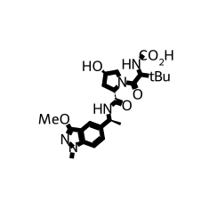 COc1nn(C)c2ccc([C@H](C)NC(=O)[C@@H]3C[C@@H](O)CN3C(=O)C(NC(=O)O)C(C)(C)C)cc12